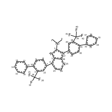 CN(C)c1nc2c(-c3ccc(-c4ccccc4)c(C(F)(F)F)c3)ccnc2n1-c1ccc(-c2ccccc2)c(C(F)(F)F)c1